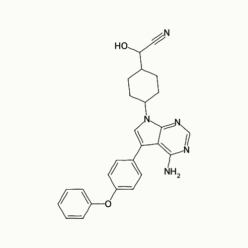 N#CC(O)C1CCC(n2cc(-c3ccc(Oc4ccccc4)cc3)c3c(N)ncnc32)CC1